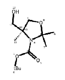 CC(C)(C)OC(=O)N1C(C)(C)OC[C@]1(C)CO